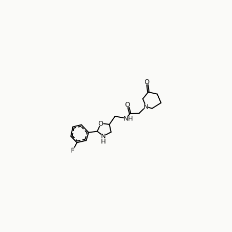 O=C1CCCN(CC(=O)NCC2CNC(c3cccc(F)c3)O2)C1